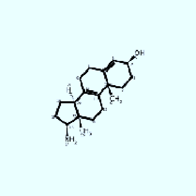 C[C@]12CC[C@H](O)C=C1CCC1=C2CC[C@]2(C)[C@@H](N)CC[C@@H]12